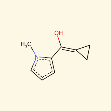 Cn1cccc1C(O)=C1CC1